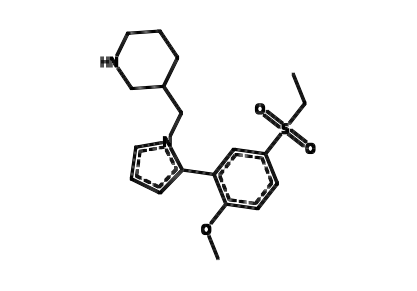 CCS(=O)(=O)c1ccc(OC)c(-c2cccn2CC2CCCNC2)c1